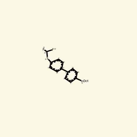 CCCCCCCCc1ccc(-c2ccc(SC(F)F)cc2)cc1